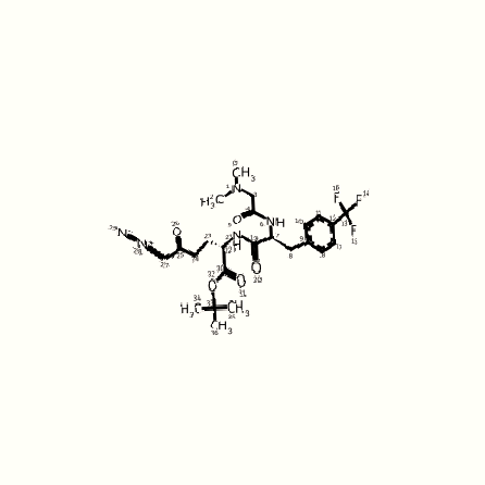 CN(C)CC(=O)N[C@@H](Cc1ccc(C(F)(F)F)cc1)C(=O)N[C@@H](CCC(=O)C=[N+]=[N-])C(=O)OC(C)(C)C